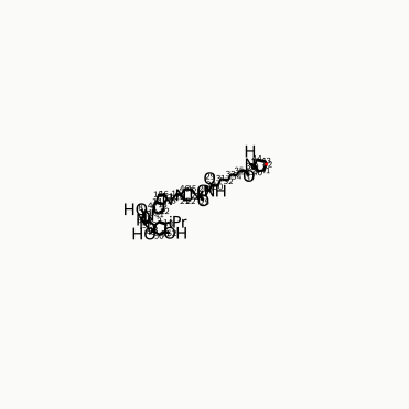 CC(C)c1cc(-c2nnc(O)n2-c2ccc3c(ccn3CCN3CCN(C(=O)ONC(=O)CCCCCCC(=O)Nc4ccccc4)CC3)c2)c(O)cc1O